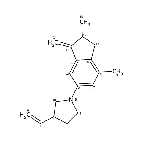 C=CC1CCN(c2cc(C)c3c(c2)C(=C)C(C)C3)C1